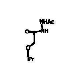 CC(=O)NNC(=O)COC(C)C